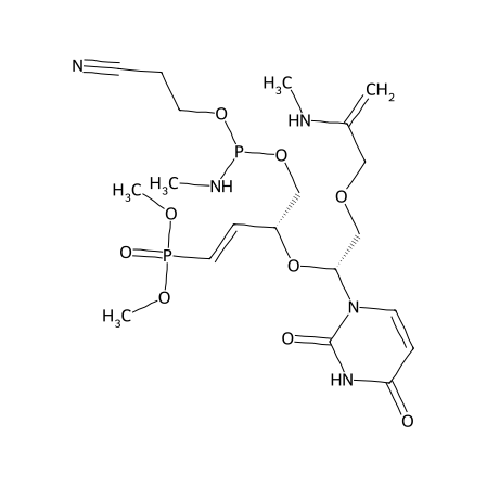 C=C(COC[C@@H](O[C@H](/C=C/P(=O)(OC)OC)COP(NC)OCCC#N)n1ccc(=O)[nH]c1=O)NC